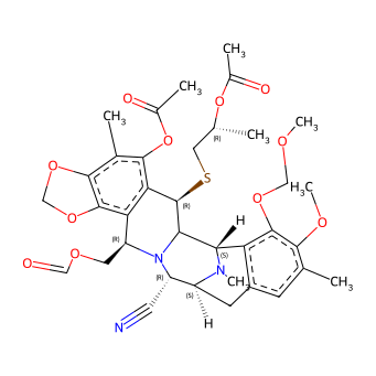 COCOc1c(OC)c(C)cc2c1[C@H]1C3[C@H](SC[C@@H](C)OC(C)=O)c4c(OC(C)=O)c(C)c5c(c4[C@H](COC=O)N3[C@@H](C#N)[C@H](C2)N1C)OCO5